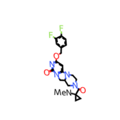 CNC1(C(=O)N2CCN3c4cc(OCc5ccc(F)c(F)c5)nc(=O)n4CC3C2)CC1